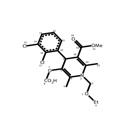 CCOCN1C(C)=C(OC(=O)O)C(c2cccc(Cl)c2Cl)C(C(=O)OC)=C1C